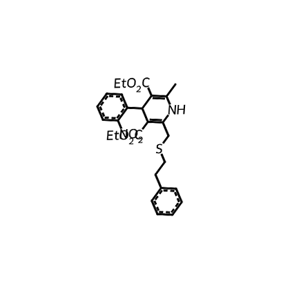 CCOC(=O)C1=C(C)NC(CSCCc2ccccc2)=C(C(=O)OCC)C1c1ccccc1[N+](=O)[O-]